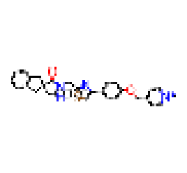 C[n+]1ccc(COc2ccc(-c3csc(CNC(=O)C4(CC(=O)[O-])Cc5ccccc5C4)n3)cc2)cc1